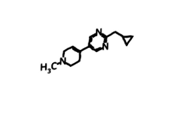 CN1CC=C(c2cnc(CC3CC3)nc2)CC1